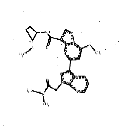 CNc1cc(-c2cn(CC(=O)N(C)C)c3ncccc23)nc2c(C(=O)NC3CC[C@H]3OC)cnn12